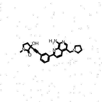 CN1CCC(O)(C#Cc2cccc(-c3ccc4c(CN5CCCC5)cnc(N)c4n3)c2)C1=O